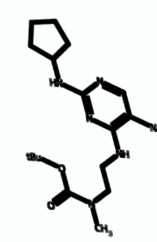 CN(CCNc1nc(NC2CCCC2)ncc1[N+](=O)[O-])C(=O)OC(C)(C)C